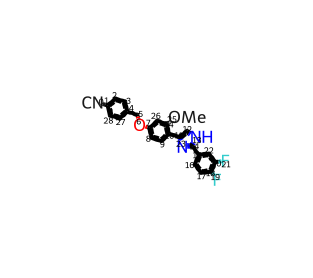 [C-]#[N+]c1ccc(COc2ccc(-c3c[nH]c(-c4ccc(F)c(F)c4)n3)c(OC)c2)cc1